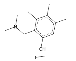 CI.Cc1cc(O)c(CN(C)C)c(C)c1C